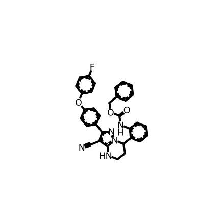 N#Cc1c(-c2ccc(Oc3ccc(F)cc3)cc2)nn2c1NCCC2c1ccccc1NC(=O)OCc1ccccc1